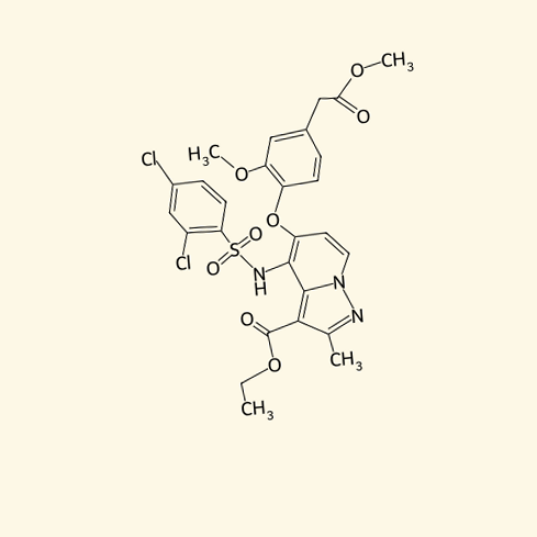 CCOC(=O)c1c(C)nn2ccc(Oc3ccc(CC(=O)OC)cc3OC)c(NS(=O)(=O)c3ccc(Cl)cc3Cl)c12